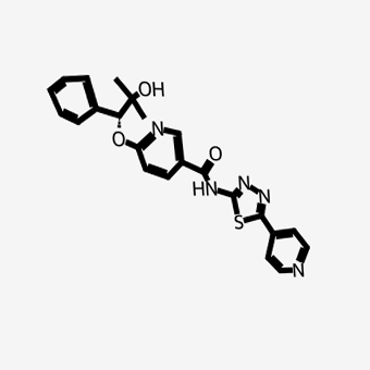 CC(C)(O)[C@H](Oc1ccc(C(=O)Nc2nnc(-c3ccncc3)s2)cn1)c1ccccc1